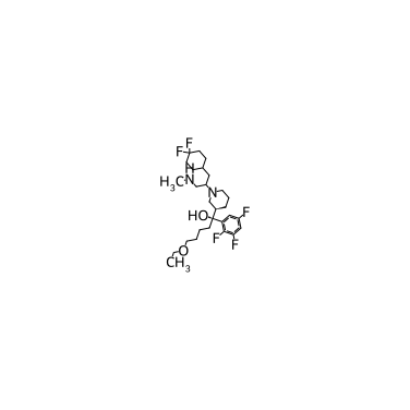 CCOCCCC[C@@](O)(c1cc(F)cc(F)c1F)[C@@H]1CCCN(C(CNC)CC2CCC(F)(F)CC2)C1